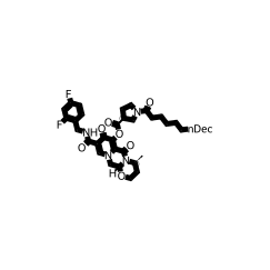 CCCCCCCCCCCCCCCC(=O)N1CC[C@H](C(=O)Oc2c3n(cc(C(=O)NCc4ccc(F)cc4F)c2=O)C[C@@H]2OCC[C@@H](C)N2C3=O)C1